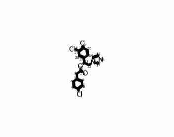 O=C(Cc1ccc(Cl)cc1)OC(Cn1ccnc1)c1ccc(Cl)c(Cl)c1